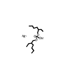 CCCCC(CC)COP(=O)(O)OCC(CC)CCCC.[H-].[K+]